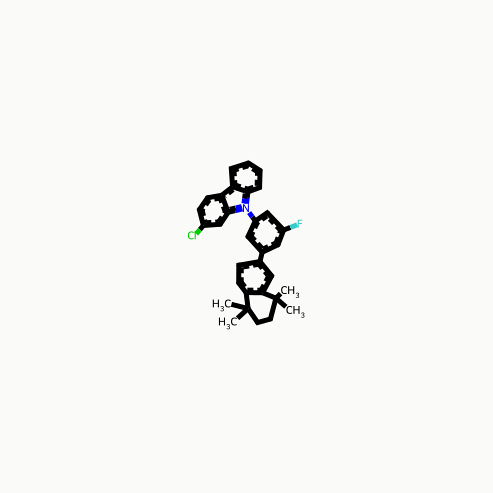 CC1(C)CCC(C)(C)c2cc(-c3cc(F)cc(-n4c5ccccc5c5ccc(Cl)cc54)c3)ccc21